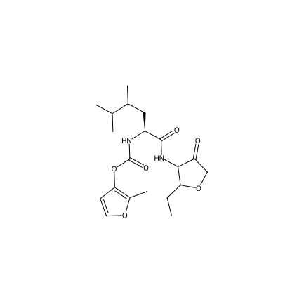 CCC1OCC(=O)C1NC(=O)[C@H](CC(C)C(C)C)NC(=O)Oc1ccoc1C